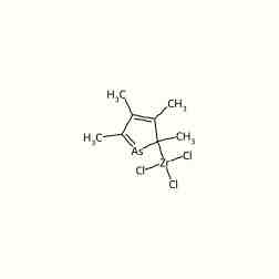 CC1=[As][C](C)([Zr]([Cl])([Cl])[Cl])C(C)=C1C